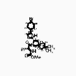 COC(=O)N[C@H](C(=O)N1CC2(C[C@H]1c1ncc(-c3ccc(Br)cc3)[nH]1)OCC(C)(C)CO2)C(C)C